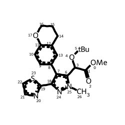 COC(=O)C(OC(C)(C)C)c1c(-c2ccc3c(c2)CCCO3)c(-c2nccs2)nn1C